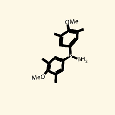 BP(c1cc(C)c(OC)c(C)c1)c1cc(C)c(OC)c(C)c1